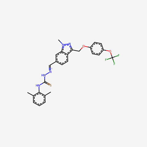 Cc1cccc(C)c1NC(=S)N/N=C/c1ccc2c(COc3ccc(OC(F)(F)F)cc3)nn(C)c2c1